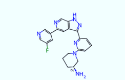 N[C@H]1CCCN(c2cccc(-c3n[nH]c4cnc(-c5cncc(F)c5)cc34)n2)C1